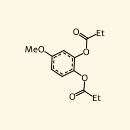 CCC(=O)Oc1ccc(OC)cc1OC(=O)CC